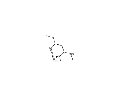 CCC(CC(NC)NC)N=C=N